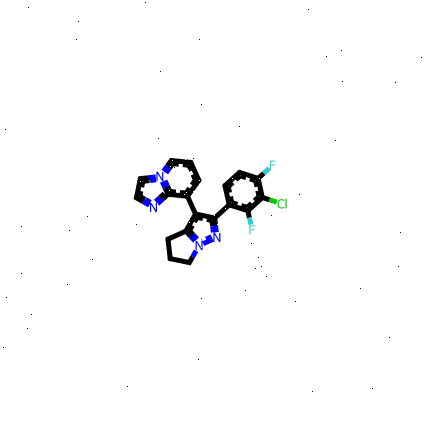 Fc1ccc(-c2nn3c(c2-c2cccn4ccnc24)CCC3)c(F)c1Cl